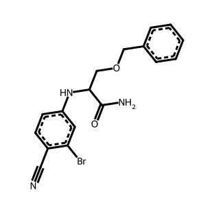 N#Cc1ccc(NC(COCc2ccccc2)C(N)=O)cc1Br